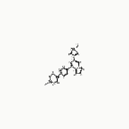 CN1CCN(c2ccc(-c3cc(-c4cnn(C)c4)cn4nccc34)cn2)CC1